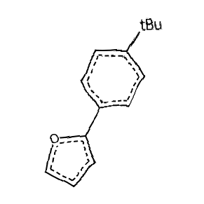 CC(C)(C)c1ccc(-c2ccco2)cc1